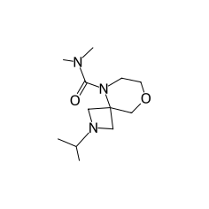 CC(C)N1CC2(COCCN2C(=O)N(C)C)C1